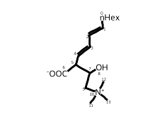 CCCCCCC=CC=CC(C(=O)[O-])C(O)C[N+](C)(C)C